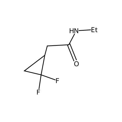 CCNC(=O)CC1CC1(F)F